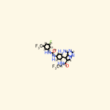 Nc1ncnn2cc(C(=O)NCC(F)(F)F)c(-c3ccc(NC(=O)Nc4cc(F)cc(C(F)(F)F)c4)cc3)c12